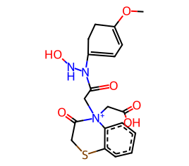 COC1=CC=C(N(NO)C(=O)C[N+]2(CC(=O)O)C(=O)CSc3ccccc32)CC1